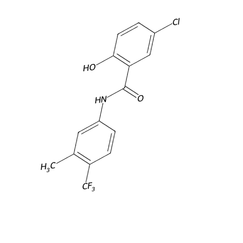 Cc1cc(NC(=O)c2cc(Cl)ccc2O)ccc1C(F)(F)F